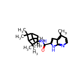 Cc1ccnc2[nH]c(C(=O)N[C@H]3CC4C(C)(C)C(C4(C)C)C3(C)C)cc12